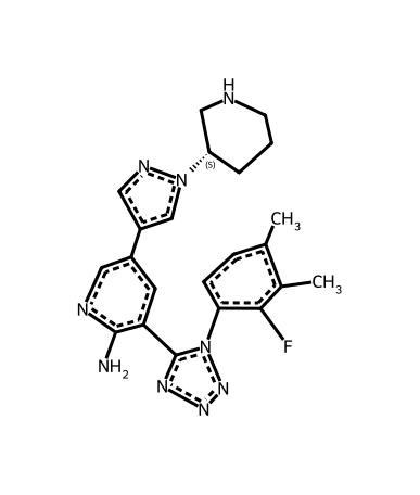 Cc1ccc(-n2nnnc2-c2cc(-c3cnn([C@H]4CCCNC4)c3)cnc2N)c(F)c1C